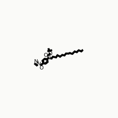 CCCCCCCCCCCCCCCCN(C(=O)OC(C)(C)C)c1ccc(C(=O)n2ccnc2)cc1